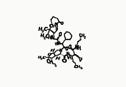 C=CCNC(=O)C(=C1CC1)C(CCC)NC(=O)[C@@H]1[C@H]2CC(C)(C)O[C@H]2CN1C(=O)[C@@H](NC(=O)N[C@H](CN1CCCCC1=O)C(C)(C)C)C1CCCCC1